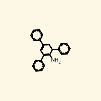 NC1=C(c2ccccc2)C=C(c2ccccc2)CC1c1ccccc1